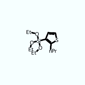 CCCc1sccc1[Si](OCC)(OCC)OCC